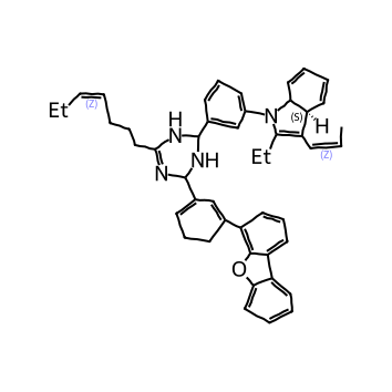 C/C=C\C1=C(CC)N(c2cccc(C3NC(CCC/C=C\CC)=NC(C4=CCCC(c5cccc6c5oc5ccccc56)=C4)N3)c2)C2C=CC=C[C@@H]12